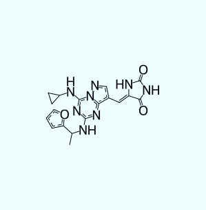 CC(Nc1nc(NC2CC2)n2ncc(/C=C3\NC(=O)NC3=O)c2n1)c1ccco1